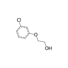 OCCOc1cccc(Cl)c1